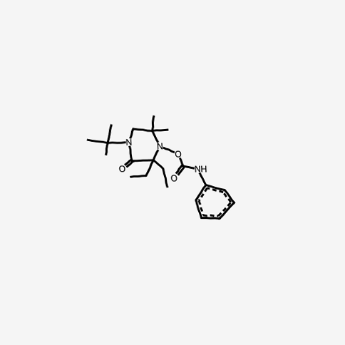 CCC1(CC)C(=O)N(C(C)(C)C)CC(C)(C)N1OC(=O)Nc1ccccc1